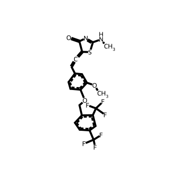 CNC1=NC(=O)C(=C=Cc2ccc(OCc3ccc(C(F)(F)F)cc3C(F)(F)F)c(OC)c2)S1